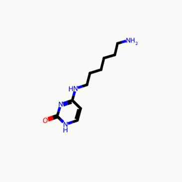 NCCCCCCNc1cc[nH]c(=O)n1